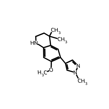 COc1cc2c(cc1-c1cnn(C)c1)C(C)(C)CCN2